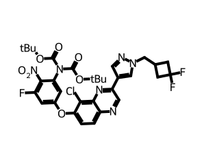 CC(C)(C)OC(=O)N(C(=O)OC(C)(C)C)c1cc(Oc2ccc3ncc(-c4cnn(CC5CC(F)(F)C5)c4)nc3c2Cl)cc(F)c1[N+](=O)[O-]